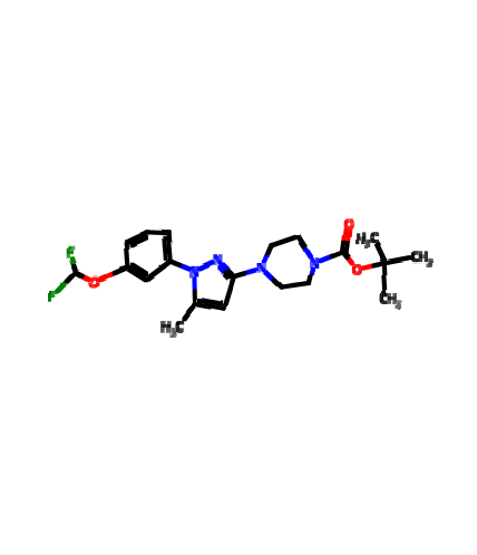 Cc1cc(N2CCN(C(=O)OC(C)(C)C)CC2)nn1-c1cccc(OC(F)F)c1